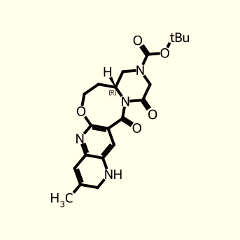 CC1=Cc2nc3c(cc2NC1)C(=O)N1C(=O)CN(C(=O)OC(C)(C)C)C[C@H]1CCO3